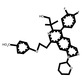 CC(C)(CO)c1nc(CCOc2ccc(C(=O)O)cc2)c2cc3c(cnn3C3CCCCO3)cc2c1-c1ccc(F)c(F)c1